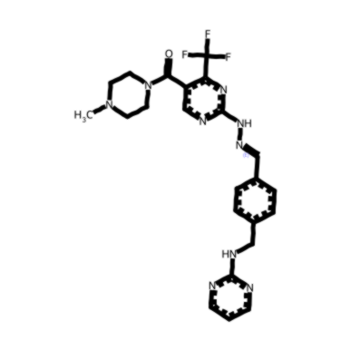 CN1CCN(C(=O)c2cnc(N/N=C/c3ccc(CNc4ncccn4)cc3)nc2C(F)(F)F)CC1